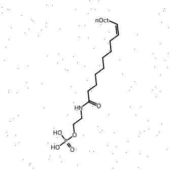 CCCCCCCC/C=C\CCCCCCCC(=O)NCCOP(=O)(O)O